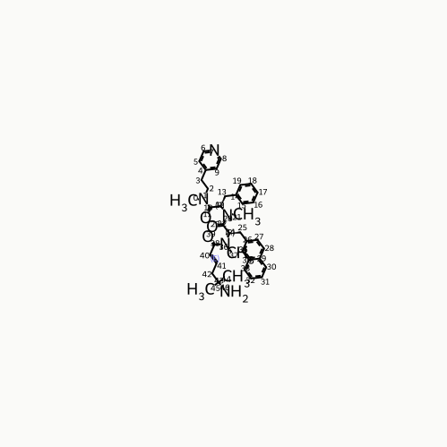 CN(CCc1ccncc1)C(=O)[C@@H](Cc1ccccc1)N(C)C(=O)[C@@H](Cc1ccc2ccccc2c1)N(C)C(=O)/C=C/CC(C)(C)N